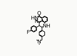 CN(C)CC1=CC=C(C2Nc3cccc4c(=O)[nH]nc(c34)C2c2ccc(F)cc2)CC1